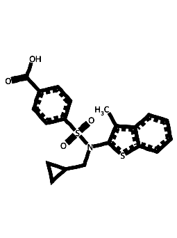 Cc1c(N(CC2CC2)S(=O)(=O)c2ccc(C(=O)O)cc2)sc2ccccc12